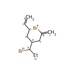 C=CCCC(CC(=C)Br)C(Br)CC